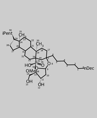 CCCCCCCCCCCCCCCCC1(OC2C[C@H](O)[C@@H](CO)O2)CC[C@]2(C)C3CC[C@@]4(C)C(CC[C@@H]4[C@H](C)CCC)C3CCC2(P(=O)(O)OC)C1